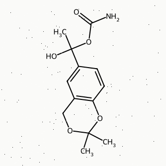 CC1(C)OCc2cc(C(C)(O)OC(N)=O)ccc2O1